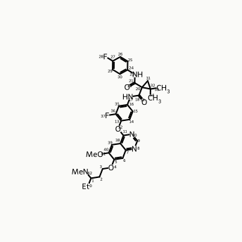 CCC(CCOc1cc2ncnc(Oc3ccc(NC(=O)C4(C(=O)Nc5ccc(F)cc5)CC4(C)C)cc3F)c2cc1OC)NC